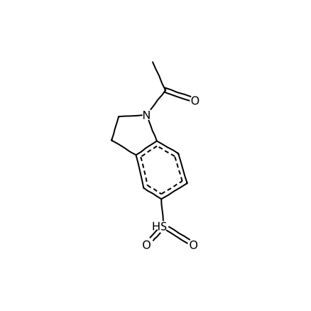 CC(=O)N1CCc2cc([SH](=O)=O)ccc21